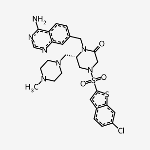 CN1CCN(C[C@H]2CN(S(=O)(=O)c3cc4ccc(Cl)cc4s3)CC(=O)N2Cc2ccc3c(N)ncnc3c2)CC1